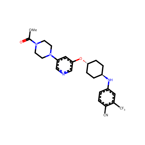 COC(=O)N1CCN(c2cncc(O[C@H]3CC[C@H](Nc4ccc(C#N)c(C(F)(F)F)c4)CC3)c2)CC1